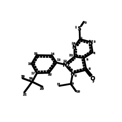 CSc1ncc2c(=O)n(C(C)C)n(-c3cccc(C(C)(C)C)c3)c2n1